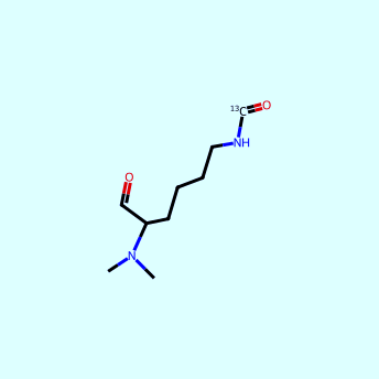 CN(C)C(C=O)CCCCN[13CH]=O